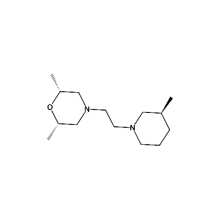 C[C@H]1CCCN(CCN2C[C@@H](C)O[C@@H](C)C2)C1